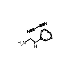 N#CC#N.NCPc1ccccc1